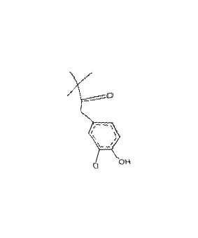 CC(C)(C)C(=O)Cc1ccc(O)c(Cl)c1